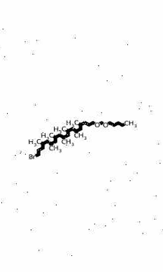 CCCCCOCOCCCC(C)CC(C)CC(C)CC(C)CC(C)CC(C)CC(C)CCCBr